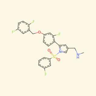 CNCc1cc(-c2ccc(OCc3cc(F)ccc3F)cc2F)n(S(=O)(=O)c2cccc(F)c2)c1